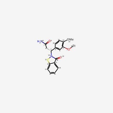 CCOc1cc([C@@H](CC(N)=O)n2sc3ccccc3c2=O)ccc1OC